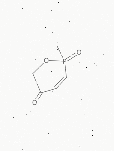 CP1(=O)C=CC(=O)CO1